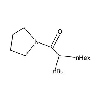 CCCCCCC(CCCC)C(=O)N1CCCC1